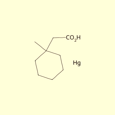 CC1(CC(=O)O)CCCCC1.[Hg]